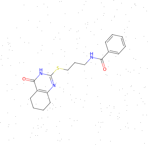 O=C(NCCCSc1nc2c(c(=O)[nH]1)CCCC2)c1ccccc1